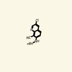 CCCCNc1ccc2cc(Cl)cnc2c1C#N